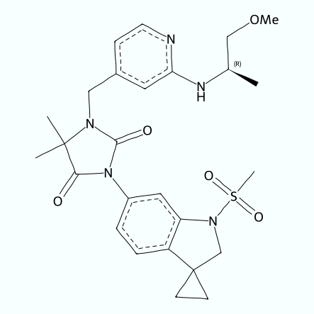 COC[C@@H](C)Nc1cc(CN2C(=O)N(c3ccc4c(c3)N(S(C)(=O)=O)CC43CC3)C(=O)C2(C)C)ccn1